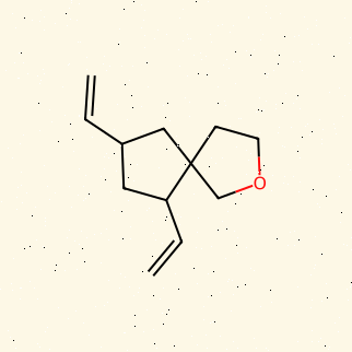 C=CC1CC(C=C)C2(CCOC2)C1